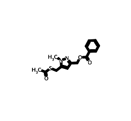 CC(=O)SCc1cc(COC(=O)c2ccccc2)nn1C